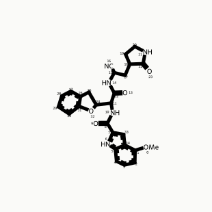 COc1cccc2[nH]c(C(=O)NC(C(=O)NC(C#N)CC3CCNC3=O)C3Cc4ccccc4O3)cc12